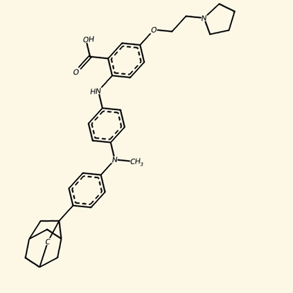 CN(c1ccc(Nc2ccc(OCCN3CCCC3)cc2C(=O)O)cc1)c1ccc(C23CC4CC(CC2C4)C3)cc1